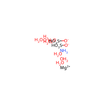 N.O.O.O.O.O.O.O.O=S(=O)([O-])O.O=S(=O)([O-])O.[Mg+2]